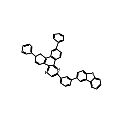 C1=CC(c2ccccc2)Cc2c1c1ncc(-c3cccc(-c4ccc5sc6ccccc6c5c4)c3)nc1c1ccc(-c3ccccc3)cc21